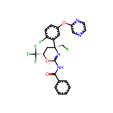 O=C(NC1=N[C@](CF)(c2cc(Oc3cnccn3)ccc2F)C[C@@H](C(F)(F)F)O1)c1ccccc1